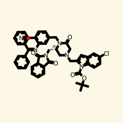 CC(C)(C)OC(=O)n1c(CN2CC(=O)N(Cc3ccc(C#N)c(N=C(c4ccccc4)c4ccccc4)c3)[C@@H](CN3C(=O)c4ccccc4C3=O)C2)cc2cc(Cl)ccc21